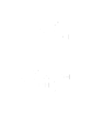 C=C(C)C(=O)O.C=C(CCCC)C(=O)O.C=C(CCCCC)C(=O)O